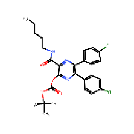 CCCCCNC(=O)c1nc(-c2ccc(Cl)cc2)c(-c2ccc(Cl)cc2)nc1OC(=O)OC(C)(C)C